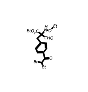 CCONC(C=O)(Cc1ccc(C(=O)C(Br)CC)cc1)C(=O)OCC